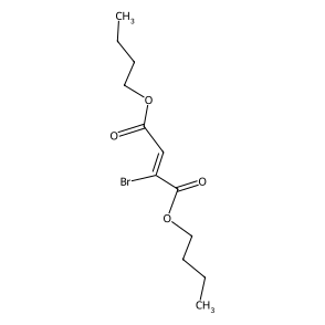 CCCCOC(=O)/C=C(\Br)C(=O)OCCCC